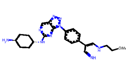 COCCN/C=C(\C=N)c1ccc(-n2nnc3cnc(N[C@H]4CC[C@H](N)CC4)nc32)cc1